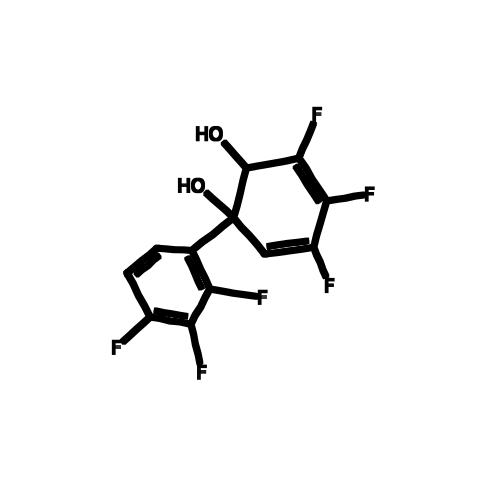 OC1C(F)=C(F)C(F)=CC1(O)c1ccc(F)c(F)c1F